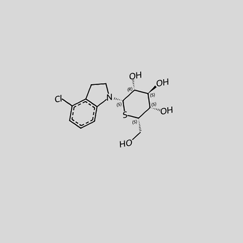 OC[C@@H]1S[C@H](N2CCc3c(Cl)cccc32)[C@H](O)[C@@H](O)[C@@H]1O